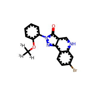 [2H]C([2H])([2H])Oc1ccccc1-n1nc2c3ccc(Br)cc3[nH]cc-2c1=O